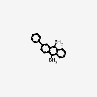 Bc1c2ccccc2c(B)c2cc(-c3ccccc3)ccc12